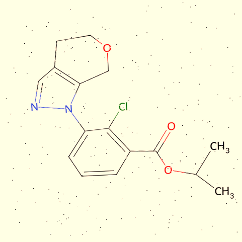 CC(C)OC(=O)c1cccc(-n2ncc3c2COCC3)c1Cl